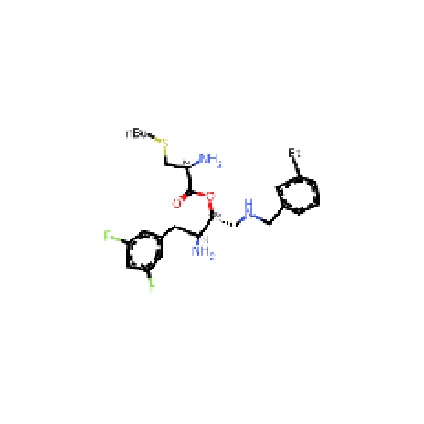 CCCCSC[C@@H](N)C(=O)O[C@H](CNCc1cccc(CC)c1)[C@@H](N)Cc1cc(F)cc(F)c1